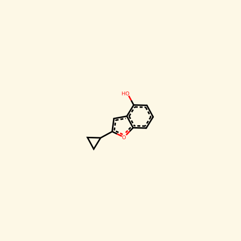 Oc1cccc2oc(C3CC3)cc12